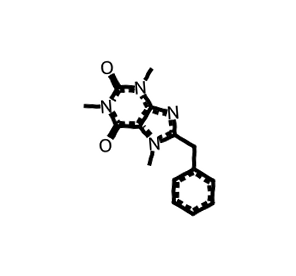 Cn1c(=O)c2c(nc(Cc3ccccc3)n2C)n(C)c1=O